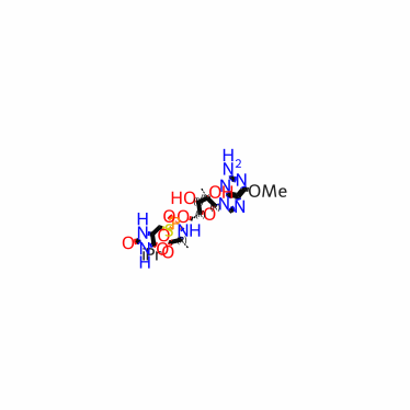 COc1nc(N)nc2c1ncn2[C@@H]1O[C@H](COP(=O)(N[C@H](C)C(=O)OC(C)C)SCC2NC(=O)NC2=O)[C@@H](O)[C@@]1(C)O